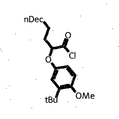 CCCCCCCCCCCCC(Oc1ccc(OC)c(C(C)(C)C)c1)C(=O)Cl